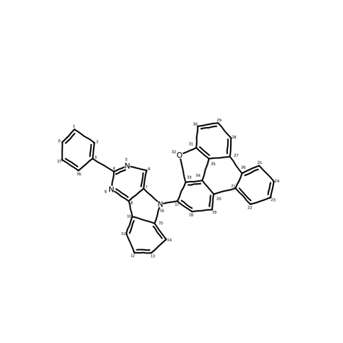 c1ccc(-c2ncc3c(n2)c2ccccc2n3-c2ccc3c4ccccc4c4cccc5oc2c3c54)cc1